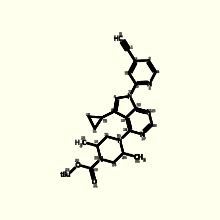 C#Cc1ccnc(-n2cc(C3CC3)c3c(N4CC(C)N(C(=O)OC(C)(C)C)CC4C)ncnc32)c1